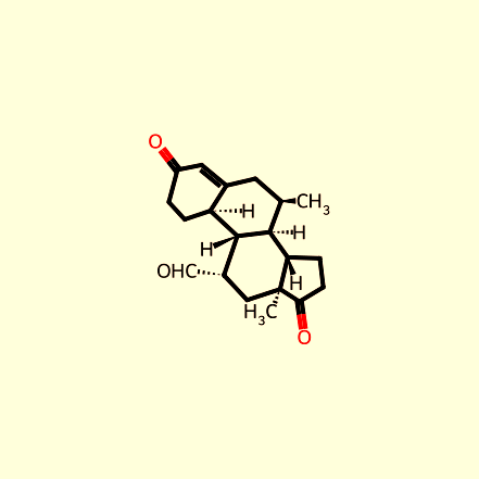 C[C@@H]1CC2=CC(=O)CC[C@@H]2[C@@H]2[C@@H]1[C@@H]1CCC(=O)[C@@]1(C)C[C@@H]2C=O